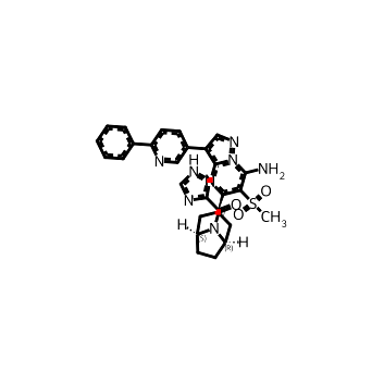 CS(=O)(=O)c1c([C@H]2C[C@H]3CC[C@@H](C2)N3C(=O)c2nc[nH]n2)nc2c(-c3ccc(-c4ccccc4)nc3)cnn2c1N